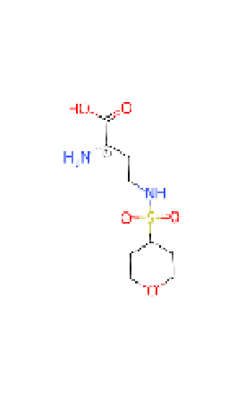 N[C@@H](CCNS(=O)(=O)C1CCOCC1)C(=O)O